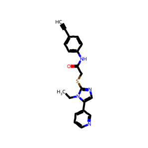 C#Cc1ccc(NC(=O)CSc2ncc(-c3cccnc3)n2CC)cc1